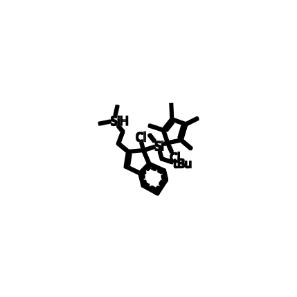 CC1=C(C)C(Cl)([Si](C)(CC(C)(C)C)C2(Cl)C(CC[SiH](C)C)=Cc3ccccc32)C(C)=C1C